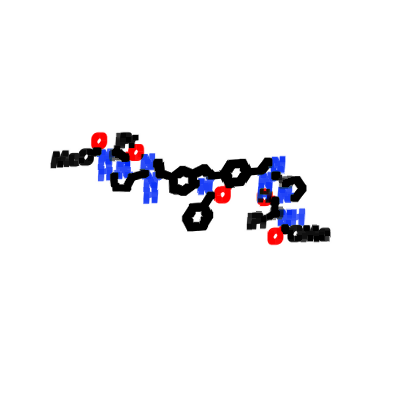 COC(=O)N[C@H](C(=O)N1CCCC1c1ncc(-c2ccc3c(c2)cc2n3C(c3ccccc3)Oc3cc(-c4cnc([C@@H]5CCCN5C(=O)[C@@H](NC(=O)OC)C(C)C)[nH]4)ccc3-2)[nH]1)C(C)C